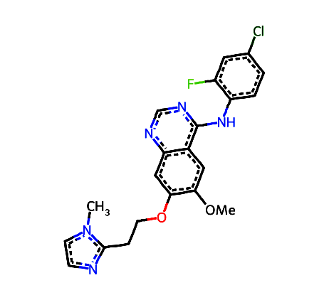 COc1cc2c(Nc3ccc(Cl)cc3F)ncnc2cc1OCCc1nccn1C